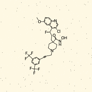 COc1ccc2ncc(Cl)c([C@H](F)CCC3(C(=O)NO)CCN(CC#Cc4cc(C(F)(F)F)cc(C(F)(F)F)c4)CC3)c2c1